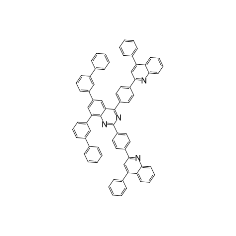 c1ccc(-c2cccc(-c3cc(-c4cccc(-c5ccccc5)c4)c4nc(-c5ccc(-c6cc(-c7ccccc7)c7ccccc7n6)cc5)nc(-c5ccc(-c6cc(-c7ccccc7)c7ccccc7n6)cc5)c4c3)c2)cc1